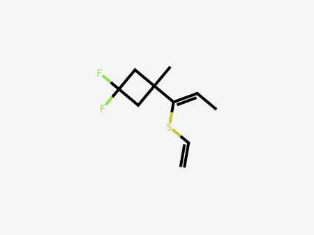 C=CS/C(=C\C)C1(C)CC(F)(F)C1